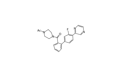 CC(=O)N1CCN(C(=O)c2ccccc2-c2ccc(-c3cnccn3)c(F)c2)CC1